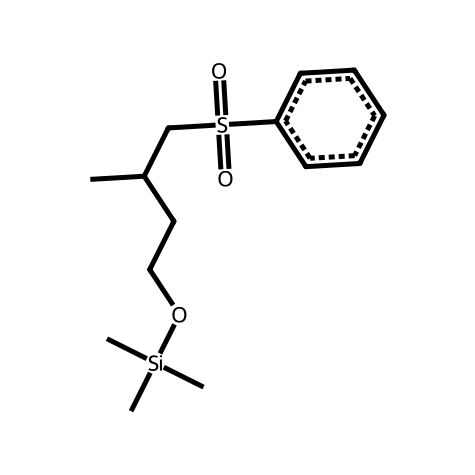 CC(CCO[Si](C)(C)C)CS(=O)(=O)c1ccccc1